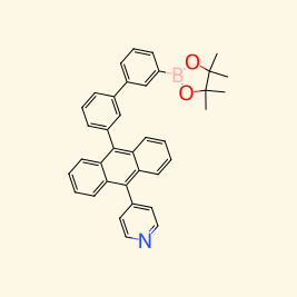 CC1(C)OB(c2cccc(-c3cccc(-c4c5ccccc5c(-c5ccncc5)c5ccccc45)c3)c2)OC1(C)C